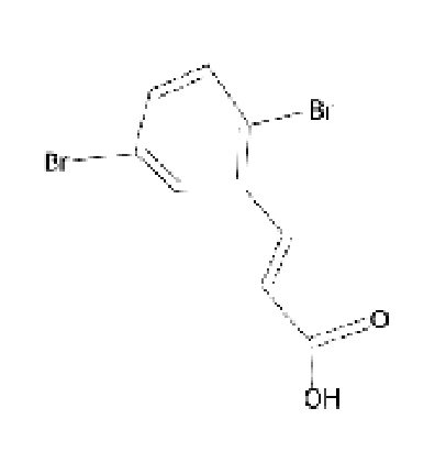 O=C(O)/C=C/c1cc(Br)ccc1Br